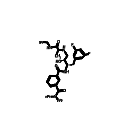 CCCN(CCC)C(=O)c1cccc(C(=O)N[C@@H](Cc2cc(F)cc(F)c2)[C@H](O)CNC(C)C(=O)NCC(C)C)c1